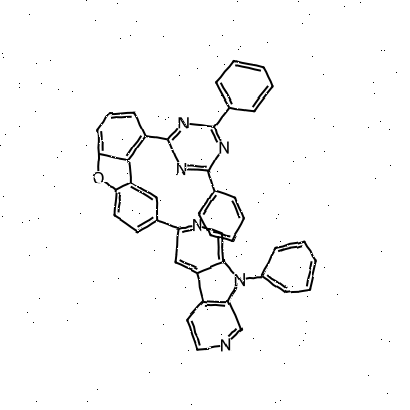 c1ccc(-c2nc(-c3ccccc3)nc(-c3cccc4oc5ccc(-c6cc7c8ccncc8n(-c8ccccc8)c7cn6)cc5c34)n2)cc1